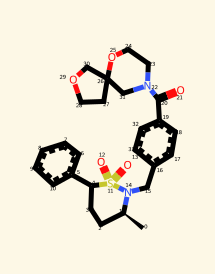 C[C@H]1CCC(c2ccccc2)S(=O)(=O)N1Cc1ccc(C(=O)N2CCOC3(CCOC3)C2)cc1